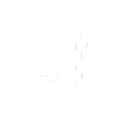 Cc1cc(C(=O)O)nn1Cc1cc(F)ccc1OCc1ccc(Cl)cc1Cl